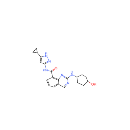 O=C(Nc1cc(C2CC2)[nH]n1)c1cccc2cnc(NC3CCC(O)CC3)nc12